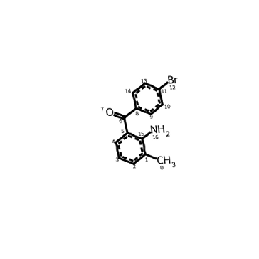 Cc1cccc(C(=O)c2ccc(Br)cc2)c1N